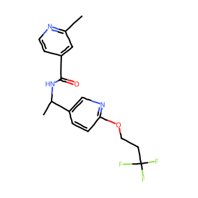 Cc1cc(C(=O)NC(C)c2ccc(OCCC(F)(F)F)nc2)ccn1